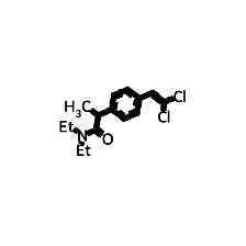 CCN(CC)C(=O)C(C)c1ccc(C=C(Cl)Cl)cc1